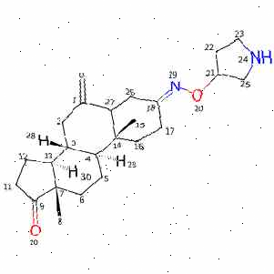 C=C1C[C@@H]2[C@H](CC[C@]3(C)C(=O)CC[C@@H]23)[C@@]2(C)CCC(=NOC3CCNC3)CC12